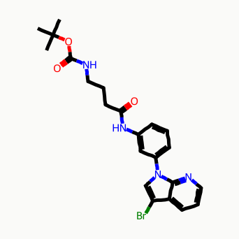 CC(C)(C)OC(=O)NCCCC(=O)Nc1cccc(-n2cc(Br)c3cccnc32)c1